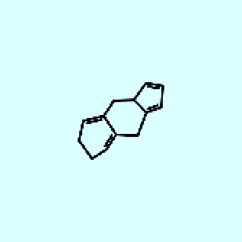 [C]1C2=CCCC=C2CC2=CC=CC12